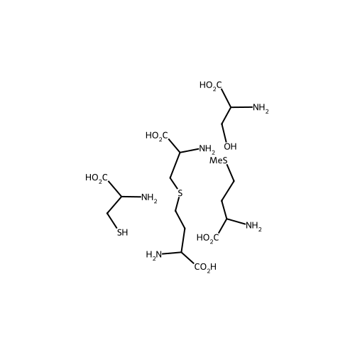 CSCCC(N)C(=O)O.NC(CCSCC(N)C(=O)O)C(=O)O.NC(CO)C(=O)O.NC(CS)C(=O)O